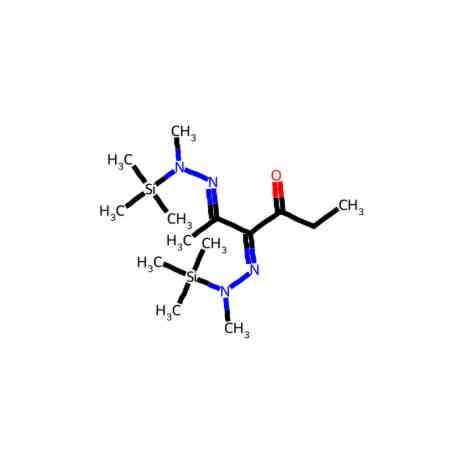 CCC(=O)C(=NN(C)[Si](C)(C)C)C(C)=NN(C)[Si](C)(C)C